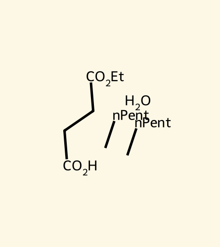 CCCCCC.CCCCCC.CCOC(=O)CCC(=O)O.O